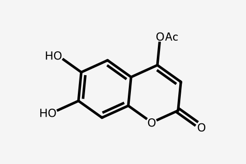 CC(=O)Oc1cc(=O)oc2cc(O)c(O)cc12